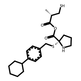 C[C@H](CS)C(=O)OC(=O)[C@@]1(SCc2ccc(C3CCCCC3)cc2)CCCN1